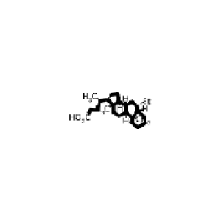 CC[C@H]1C[C@@H]2[C@H](CC[C@]3(C)[C@@H]([C@H](C)CCC(=O)O)CC[C@@H]23)[C@@]2(C)CCCC[C@@H]12